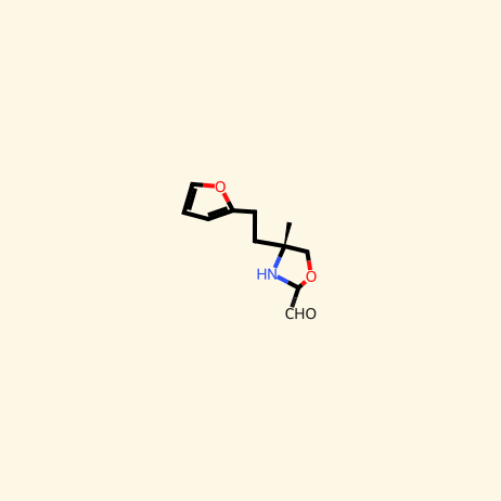 C[C@@]1(CCc2ccco2)COC(C=O)N1